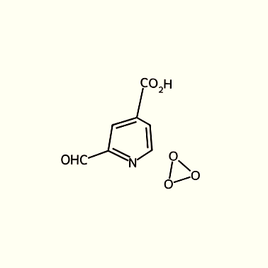 O=Cc1cc(C(=O)O)ccn1.o1oo1